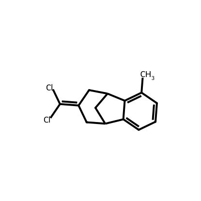 Cc1cccc2c1C1CC(=C(Cl)Cl)CC2C1